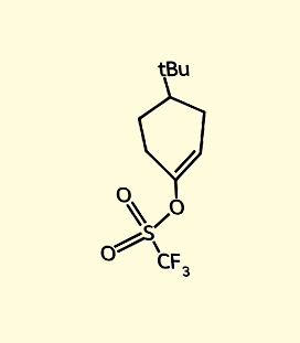 CC(C)(C)C1CC=C(OS(=O)(=O)C(F)(F)F)CC1